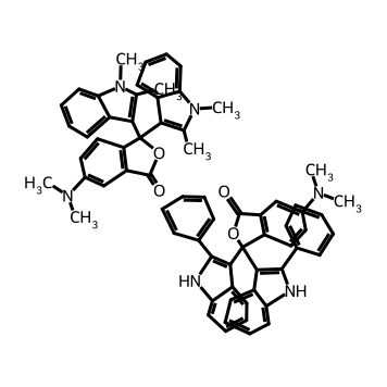 CN(C)c1ccc2c(c1)C(=O)OC2(c1c(-c2ccccc2)[nH]c2ccccc12)c1c(-c2ccccc2)[nH]c2ccccc12.Cc1c(C2(c3c(C)n(C)c4ccccc34)OC(=O)c3cc(N(C)C)ccc32)c2ccccc2n1C